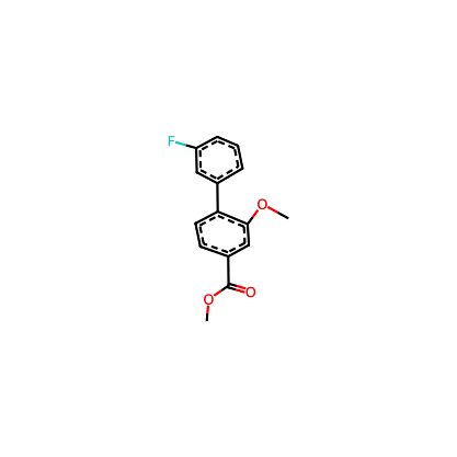 COC(=O)c1ccc(-c2cccc(F)c2)c(OC)c1